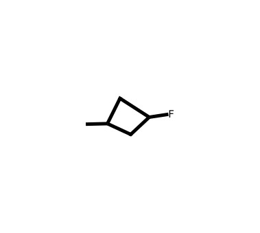 CC1CC(F)C1